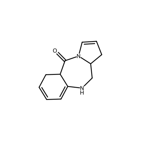 O=C1C2CC=CC=C2NCC2CC=CN12